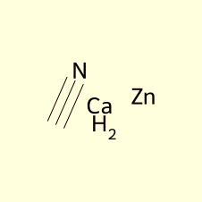 C#N.[CaH2].[Zn]